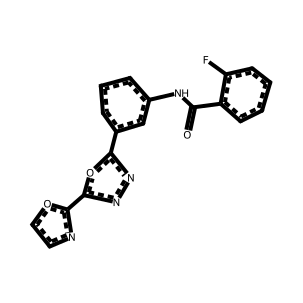 O=C(Nc1cccc(-c2nnc(-c3ncco3)o2)c1)c1ccccc1F